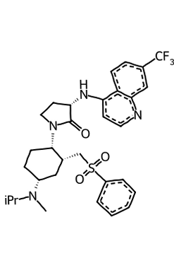 CC(C)N(C)[C@@H]1CC[C@H](N2CC[C@H](Nc3ccnc4cc(C(F)(F)F)ccc34)C2=O)[C@H](CS(=O)(=O)c2ccccc2)C1